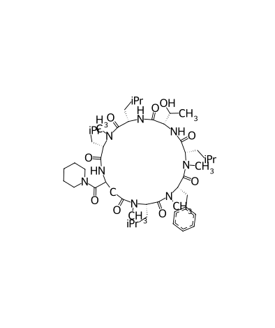 CC(C)C[C@@H]1NC(=O)[C@H](C(C)O)NC(=O)[C@H](CC(C)C)N(C)C(=O)[C@H](Cc2ccccc2)N(C)C(=O)[C@H](CC(C)C)N(C)C(=O)CC(C(=O)N2CCCCC2)NC(=O)[C@H](CC(C)C)N(C)C1=O